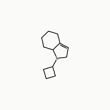 C1=C2CCCCC2N(C2CCC2)C1